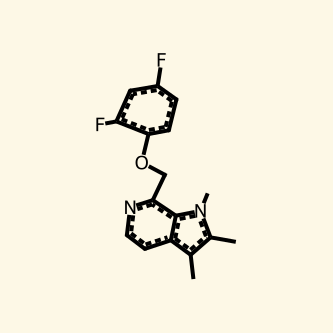 Cc1c(C)n(C)c2c(COc3ccc(F)cc3F)nccc12